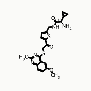 COc1ccc2nc(C)nc(SCC(=O)c3ccc(CNC(=O)[C@H](N)C4CC4)s3)c2c1